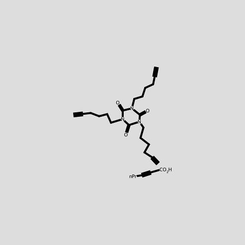 C#CCCCCn1c(=O)n(CCCCC#C)c(=O)n(CCCCC#C)c1=O.CCCC#CC(=O)O